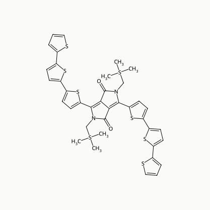 CS(C)(C)CN1C(=O)C2=C(c3ccc(-c4ccc(-c5cccs5)s4)s3)N(CS(C)(C)C)C(=O)C2=C1c1ccc(-c2ccc(-c3cccs3)s2)s1